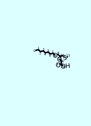 CCCCCCCCOCC(CSC)OCC(=O)O